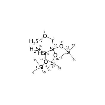 C[Si](C)(C)O[SiH]1[SiH2][SiH2]OC[Si]1(O[Si](C)(C)C)O[Si](C)(C)C